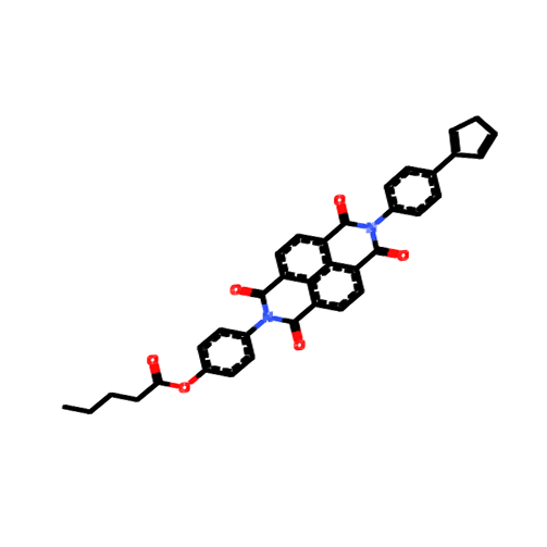 CCCCC(=O)Oc1ccc(N2C(=O)c3ccc4c5c(ccc(c35)C2=O)C(=O)N(c2ccc(C3=CCC=C3)cc2)C4=O)cc1